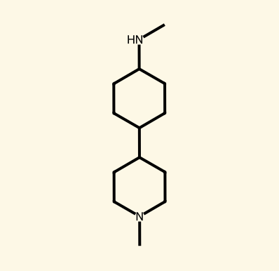 CNC1CCC(C2CCN(C)CC2)CC1